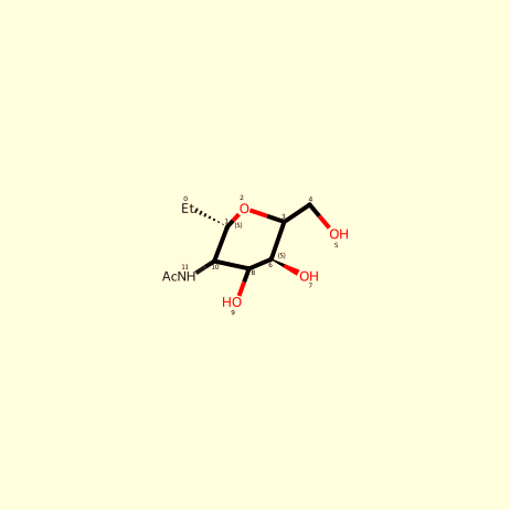 CC[C@@H]1OC(CO)[C@@H](O)C(O)C1NC(C)=O